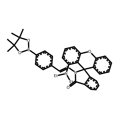 CCN(CC)c1cccc2c1C1(c3ccccc3O2)c2ccccc2C(=O)N1/N=C/c1ccc(B2OC(C)(C)C(C)(C)O2)cc1